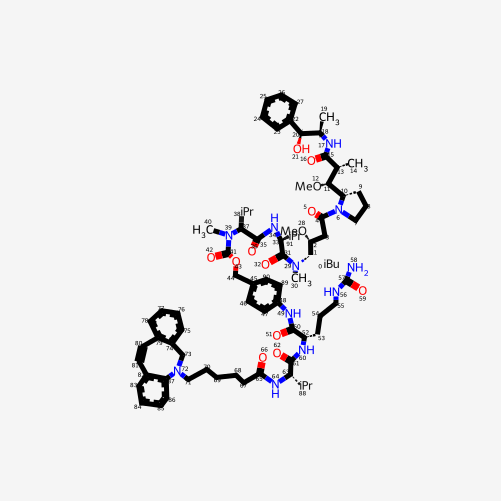 CC[C@H](C)[C@@H]([C@@H](CC(=O)N1CCC[C@H]1[C@H](OC)[C@@H](C)C(=O)N[C@H](C)[C@@H](O)c1ccccc1)OC)N(C)C(=O)[C@@H](NC(=O)C(C(C)C)N(C)C(=O)OCc1ccc(NC(=O)[C@H](CCCNC(N)=O)NC(=O)[C@@H](NC(=O)CCCCCN2Cc3ccccc3C#Cc3ccccc32)C(C)C)cc1)C(C)C